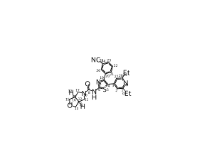 CCc1cc(-c2sc(NC(=O)N3C[C@H]4COC[C@H]4C3)nc2-c2cccc(C#N)c2)cc(CC)n1